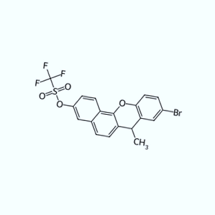 CC1c2cc(Br)ccc2Oc2c1ccc1cc(OS(=O)(=O)C(F)(F)F)ccc21